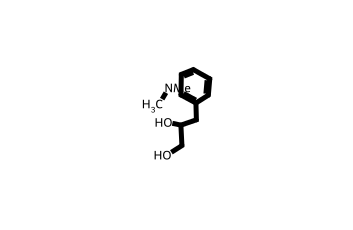 CNC.OCC(O)Cc1ccccc1